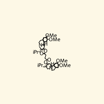 COc1cc2c(cc1OC)[C@H]1C[C@@H](OC(=O)CCC(=O)O[C@@H]3C[C@@H]4c5cc(OC)c(OC)cc5CCN4C[C@H]3CC(C)C)[C@H](CC(C)C)CN1CC2